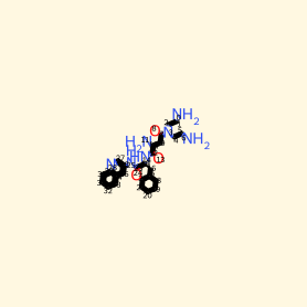 NCCN(CCN)C(=O)C[C@H](N)C(=O)N[C@@H](CC1CCCCC1)C(=O)Nc1cnc2ccccc2c1